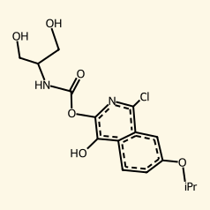 CC(C)Oc1ccc2c(O)c(OC(=O)NC(CO)CO)nc(Cl)c2c1